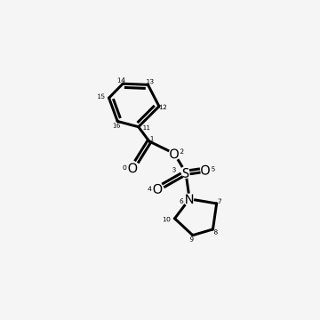 O=C(OS(=O)(=O)N1CCCC1)c1ccccc1